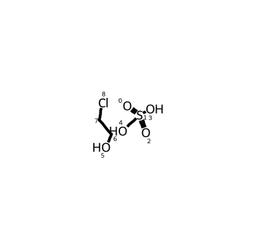 O=S(=O)(O)O.OCCCl